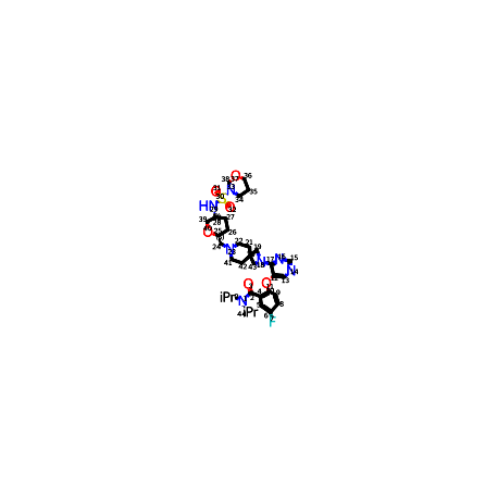 CC(C)N(C(=O)c1cc(F)ccc1Oc1cncnc1N1CC2(CCN(C[C@@H]3CC[C@@H](NS(=O)(=O)N4CCCOC4)CO3)CC2)C1)C(C)C